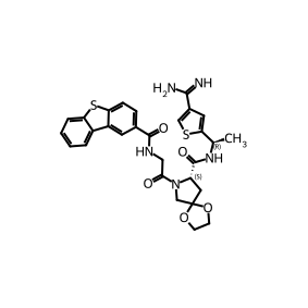 C[C@@H](NC(=O)[C@@H]1CC2(CN1C(=O)CNC(=O)c1ccc3sc4ccccc4c3c1)OCCO2)c1cc(C(=N)N)cs1